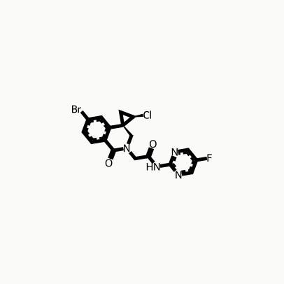 O=C(CN1C[C@]2(C[C@H]2Cl)c2cc(Br)ccc2C1=O)Nc1ncc(F)cn1